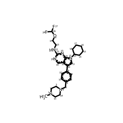 CN1CCN(Cc2ccc(-c3cn(C4CCCCC4)c4nc(NCCOC(F)F)ncc34)cc2)CC1